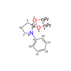 CCCO[Si]1(OCCC)CCCN1c1ccccc1